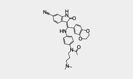 CC(=O)N(CCCN(C)C)c1ccc(NC(=C2C(=O)Nc3cc(C#N)ccc32)c2ccc3c(c2)OCCO3)cc1